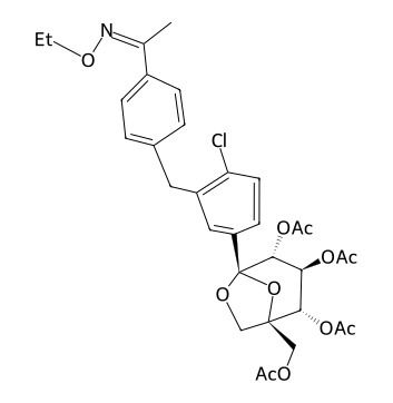 CCO/N=C(/C)c1ccc(Cc2cc([C@]34OC[C@](COC(C)=O)(O3)[C@@H](OC(C)=O)[C@H](OC(C)=O)[C@H]4OC(C)=O)ccc2Cl)cc1